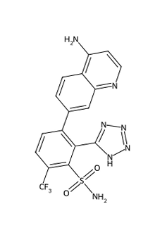 Nc1ccnc2cc(-c3ccc(C(F)(F)F)c(S(N)(=O)=O)c3-c3nnn[nH]3)ccc12